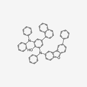 Oc1c(N(c2ccccc2)c2ccccc2)cc(-c2cccc3ccccc23)cc1N(c1ccccc1)c1ccc2oc3ccc(-c4ccccc4)cc3c2c1